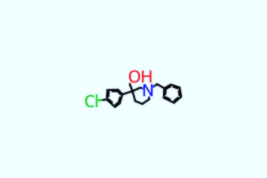 OCC1(c2ccc(Cl)cc2)CCCN(Cc2ccccc2)C1